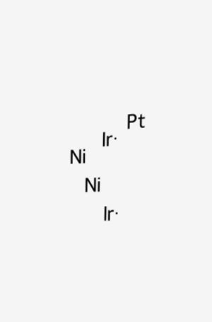 [Ir].[Ir].[Ni].[Ni].[Pt]